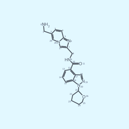 NCc1ccc2nc(CNC(=O)c3cccc4c3cnn4C3CCCCO3)cn2c1